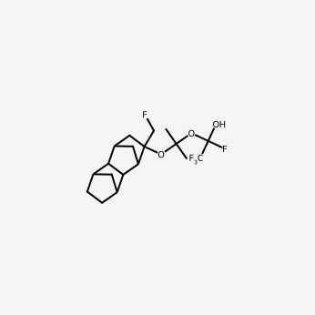 CC(C)(OC1(CF)CC2CC1C1C3CCC(C3)C21)OC(O)(F)C(F)(F)F